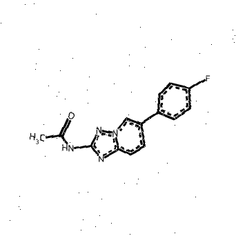 CC(=O)Nc1nc2ccc(-c3ccc(F)cc3)cn2n1